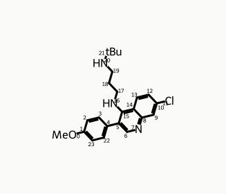 COc1ccc(-c2cnc3cc(Cl)ccc3c2NCCCNC(C)(C)C)cc1